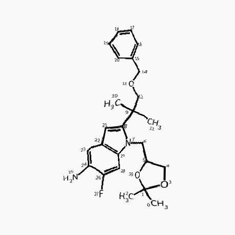 CC1(C)OCC(Cn2c(C(C)(C)COCc3ccccc3)cc3cc(N)c(F)cc32)O1